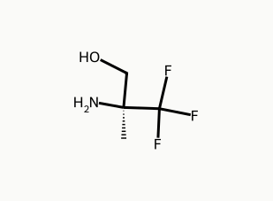 C[C@](N)(CO)C(F)(F)F